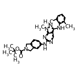 Cc1cccc(C)c1Nc1nn(C)c2nc(Nc3ccc4c(c3)CN(C(=O)OC(C)(C)C)C4)ncc12